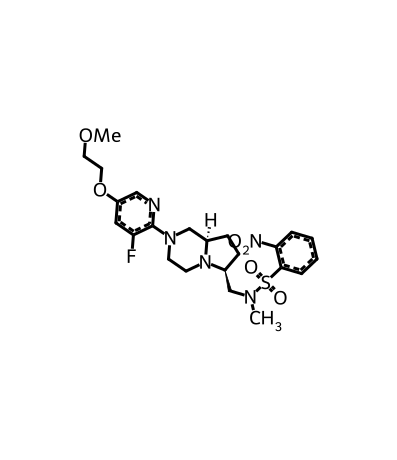 COCCOc1cnc(N2CCN3[C@H](CC[C@H]3CN(C)S(=O)(=O)c3ccccc3[N+](=O)[O-])C2)c(F)c1